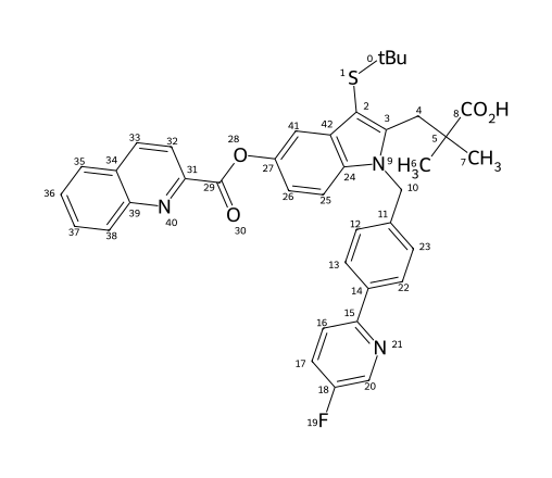 CC(C)(C)Sc1c(CC(C)(C)C(=O)O)n(Cc2ccc(-c3ccc(F)cn3)cc2)c2ccc(OC(=O)c3ccc4ccccc4n3)cc12